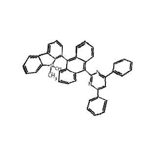 C[Si]1(C)c2ccccc2-c2cccc(-c3c4ccccc4c(-c4nc(-c5ccccc5)cc(-c5ccccc5)n4)c4ccccc34)c21